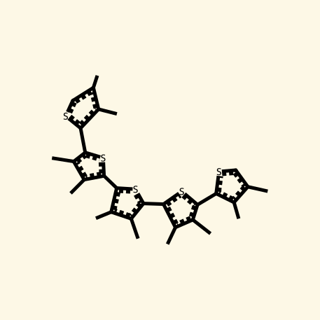 Cc1csc(-c2sc(-c3sc(-c4sc(-c5scc(C)c5C)c(C)c4C)c(C)c3C)c(C)c2C)c1C